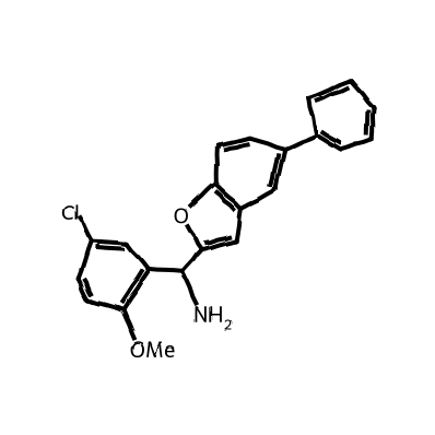 COc1ccc(Cl)cc1C(N)c1cc2cc(-c3ccccc3)ccc2o1